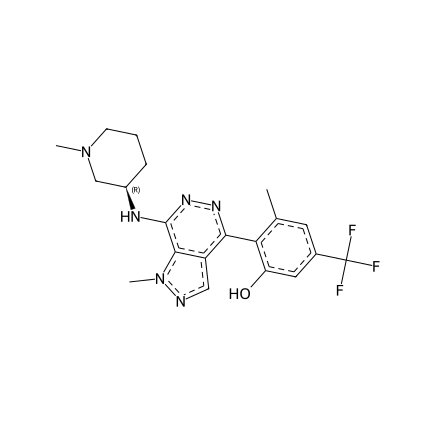 Cc1cc(C(F)(F)F)cc(O)c1-c1nnc(N[C@@H]2CCCN(C)C2)c2c1cnn2C